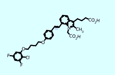 Cc1c(CCCC(=O)O)c2cccc(/C=C/c3ccc(OCCCCOc4cc(F)cc(F)c4Cl)cc3)c2n1CC(=O)O